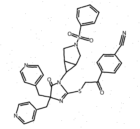 N#Cc1ccc(C(=O)CSC2=NC(Cc3ccncc3)(Cc3ccncc3)C(=O)N2C2C3CN(S(=O)(=O)c4ccccc4)CC32)cc1